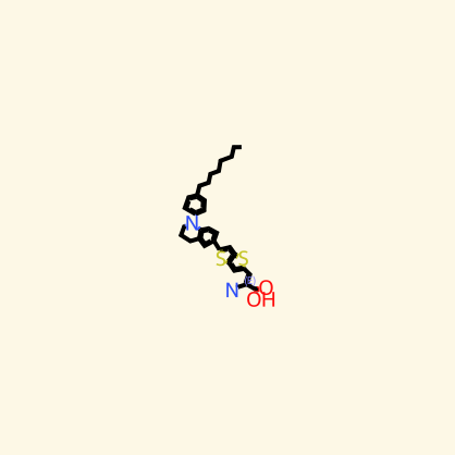 CCCCCCCCc1ccc(N2CCCc3cc(-c4cc5sc(/C=C(\C#N)C(=O)O)cc5s4)ccc32)cc1